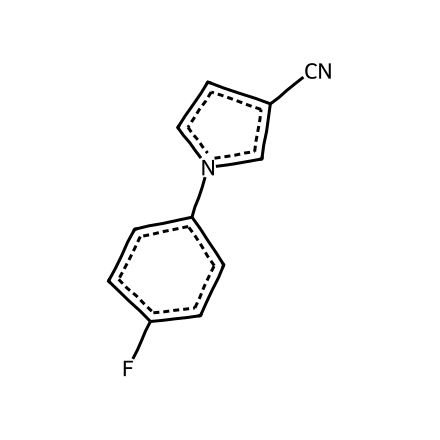 N#Cc1ccn(-c2ccc(F)cc2)c1